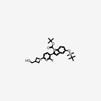 CC(C)(C)OC(=O)n1c(-c2ccc(N3CC(CO)C3)nc2F)cc2cc(O[Si](C)(C)C(C)(C)C)ccc21